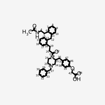 CC(=O)NCCc1ccccc1Cc1ccccc1CCC(=O)N1CCN(Cc2ccccc2)CC1Cc1ccc(OCC(=O)O)cc1